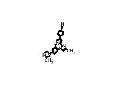 Cc1cn2c(n1)-c1cc(-c3ccc(C#N)cc3)cn1Cc1cc(N3CCNC(C)C3)ccc1-2